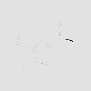 C[C@H](O)c1ccc(O)c(CO)c1